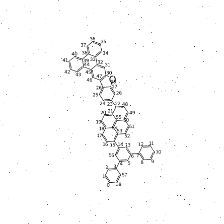 c1ccc(-c2cc(-c3ccccc3)cc(-c3ccc4ccc5c(-c6ccc7c(c6)oc6cc8c9ccccc9c9ccccc9c8cc67)ccc6ccc3c4c65)c2)cc1